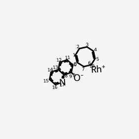 C1=C\CC/C=C\CC/1.[O-]c1cccc2cccnc12.[Rh+]